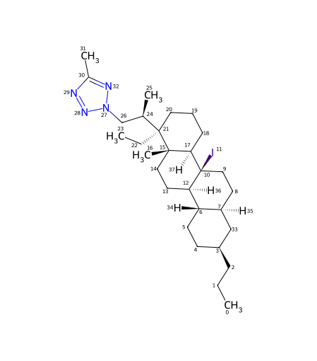 CCC[C@H]1CC[C@H]2[C@@H](CC[C@]3(I)[C@@H]2CC[C@@]2(C)[C@H]3CCC[C@]2(CC)[C@H](C)Cn2nnc(C)n2)C1